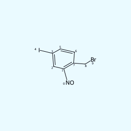 O=Nc1cc(I)ccc1CBr